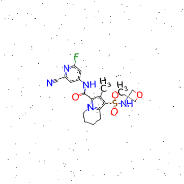 Cc1c(S(=O)(=O)NC2(C)COC2)c2n(c1C(=O)Nc1cc(F)nc(C#N)c1)CCCC2